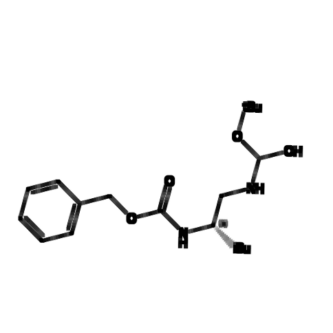 CCC(C)[C@@H](CNC(O)OC(C)(C)C)NC(=O)OCc1ccccc1